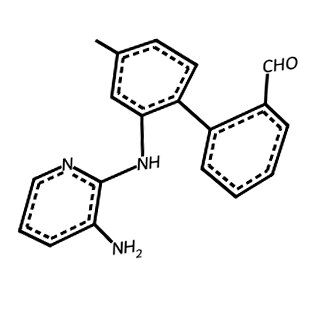 Cc1ccc(-c2ccccc2C=O)c(Nc2ncccc2N)c1